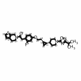 CC(C)c1noc(N2CCC([C@H]3C[C@H]3CCOc3ccc(CC(=O)N4CCc5ccsc5C4)c(F)c3)CC2)n1